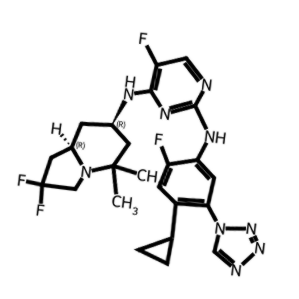 CC1(C)C[C@H](Nc2nc(Nc3cc(-n4cnnn4)c(C4CC4)cc3F)ncc2F)C[C@@H]2CC(F)(F)CN21